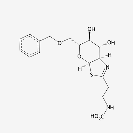 O=C(O)NCCC1=N[C@@H]2[C@@H](O)[C@H](O)[C@@H](COCc3ccccc3)O[C@@H]2S1